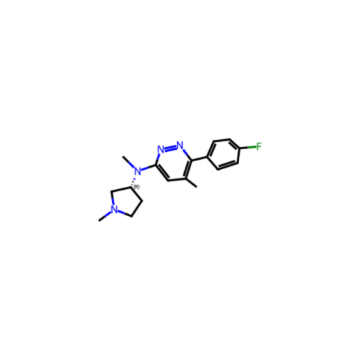 Cc1cc(N(C)[C@@H]2CCN(C)C2)nnc1-c1ccc(F)cc1